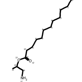 CCCCCCCCCCCC(=O)OC(C)CN